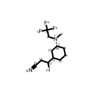 CN(CC(F)(F)F)[C@@H]1CCCC(C(I)CC#N)C1